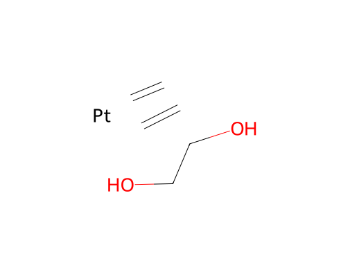 C=C.C=C.OCCO.[Pt]